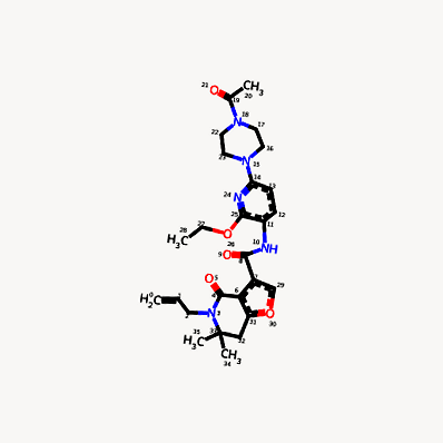 C=CCN1C(=O)c2c(C(=O)Nc3ccc(N4CCN(C(C)=O)CC4)nc3OCC)coc2CC1(C)C